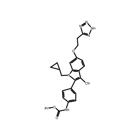 CC(C)OC(=O)Nc1ccc(-c2c(C#N)c3ccc(OCCc4nn[nH]n4)cc3n2CC2CC2)cc1